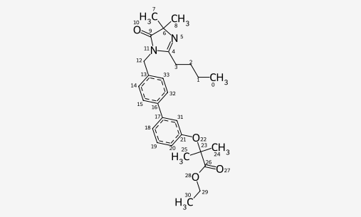 CCCCC1=NC(C)(C)C(=O)N1Cc1ccc(-c2cccc(OC(C)(C)C(=O)OCC)c2)cc1